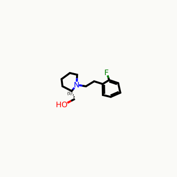 OC[C@@H]1CCCCN1CCc1ccccc1F